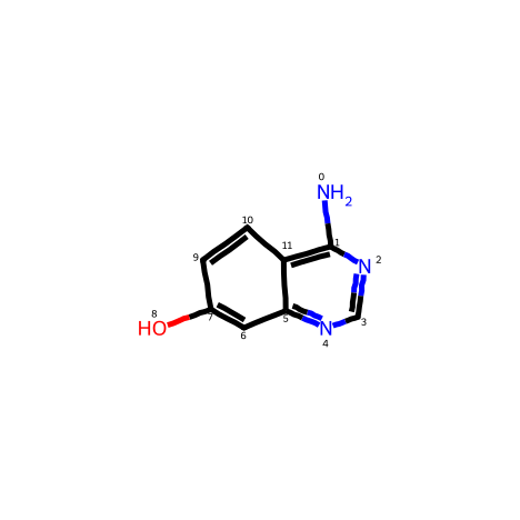 Nc1ncnc2cc(O)ccc12